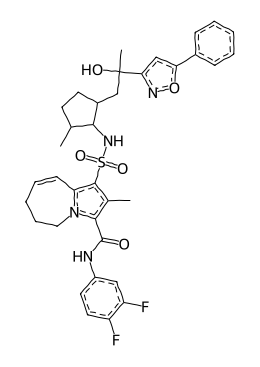 Cc1c(S(=O)(=O)NC2C(C)CCC2CC(C)(O)c2cc(-c3ccccc3)on2)c2n(c1C(=O)Nc1ccc(F)c(F)c1)CCCC=C2